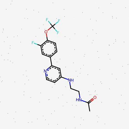 CC(=O)NCCNc1ccnc(-c2ccc(OC(F)(F)F)c(F)c2)c1